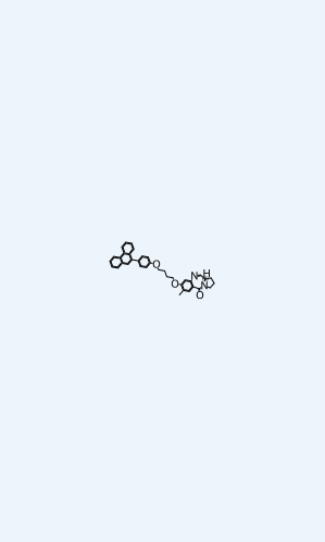 Cc1cc2c(cc1OCCCCOc1ccc(-c3cc4ccccc4c4ccccc34)cc1)N=C[C@@H]1CCCN1C2=O